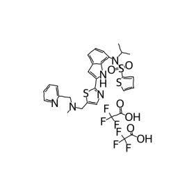 CC(C)N(c1cccc2cc(-c3ncc(CN(C)Cc4ccccn4)s3)[nH]c12)S(=O)(=O)c1cccs1.O=C(O)C(F)(F)F.O=C(O)C(F)(F)F